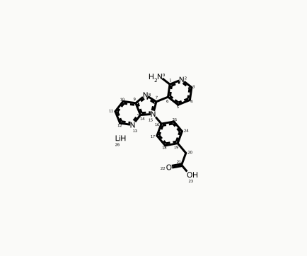 Nc1ncccc1-c1nc2cccnc2n1-c1ccc(CC(=O)O)cc1.[LiH]